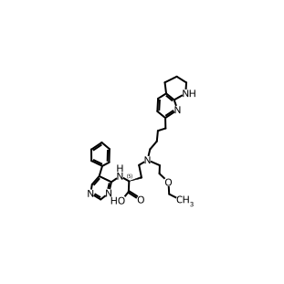 CCOCCN(CCCCc1ccc2c(n1)NCCC2)CC[C@H](Nc1ncncc1-c1ccccc1)C(=O)O